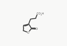 O=C(O)CCC1=CCOC1=O